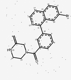 C=C1CN(C(=O)c2cccc(-c3ncnc4ccc(Br)cc34)c2)CCN1